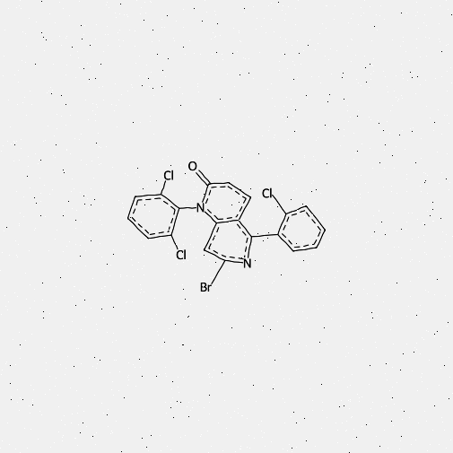 O=c1ccc2c(-c3ccccc3Cl)nc(Br)cc2n1-c1c(Cl)cccc1Cl